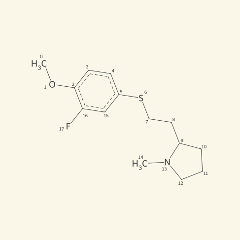 COc1ccc(SCCC2CCCN2C)cc1F